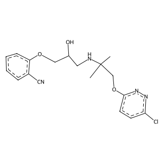 CC(C)(COc1ccc(Cl)nn1)NCC(O)COc1ccccc1C#N